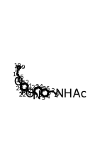 CC(=O)NCCc1ccc2nc(Oc3ccc(OCCC4CC4)cc3C)ccc2c1